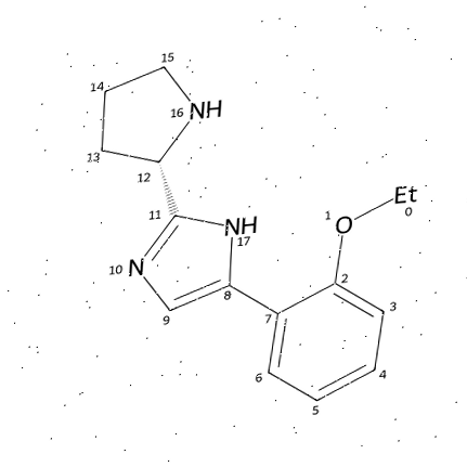 CCOc1ccccc1-c1cnc([C@@H]2CCCN2)[nH]1